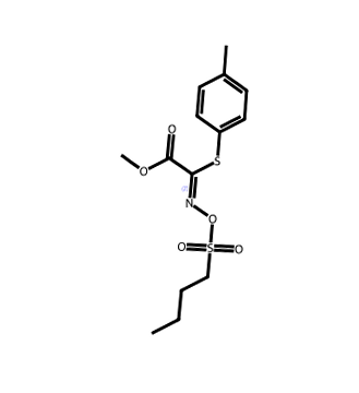 CCCCS(=O)(=O)O/N=C(\Sc1ccc(C)cc1)C(=O)OC